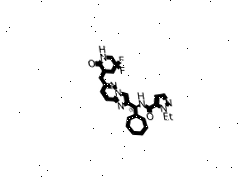 CCn1nccc1C(=O)N[C@H](c1cn2nc(CC3CC(F)(F)CNC3=O)ccc2n1)C1CCCCCC1